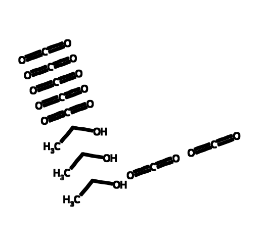 CCO.CCO.CCO.O=C=O.O=C=O.O=C=O.O=C=O.O=C=O.O=C=O.O=C=O